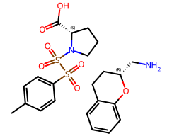 Cc1ccc(S(=O)(=O)S(=O)(=O)N2CCC[C@H]2C(=O)O)cc1.NC[C@H]1CCc2ccccc2O1